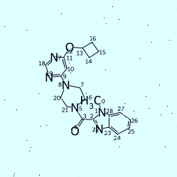 Cn1c(C(=O)N2CCN(c3cc(OC4CCC4)ncn3)CC2)nc2ccccc21